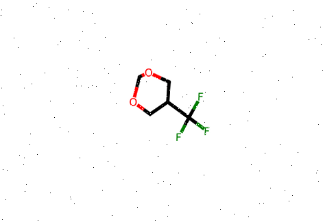 FC(F)(F)C1COCOC1